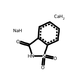 O=C1NS(=O)(=O)c2ccccc21.[CaH2].[NaH]